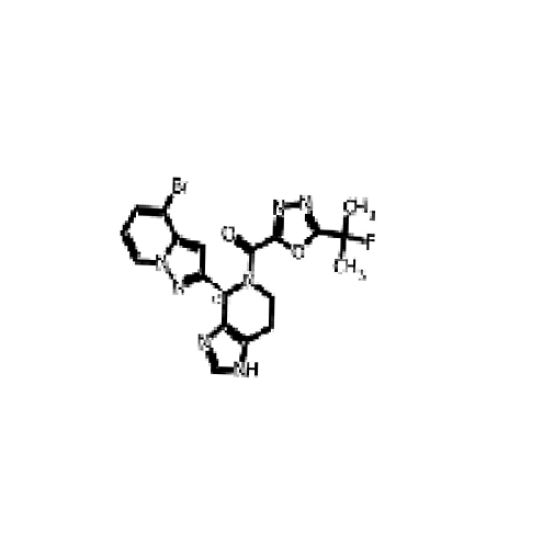 CC(C)(F)c1nnc(C(=O)N2CCc3[nH]cnc3[C@H]2c2cc3c(Br)cccn3n2)o1